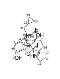 Oc1ccc2c3c1O[C@H]1[C@@]4(CCCN4)CC[C@@]4(O)[C@@H](C2)N(CC2CC2)CC[C@]314